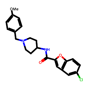 COc1ccc(CN2CCC(NC(=O)c3cc4cc(Cl)ccc4o3)CC2)cc1